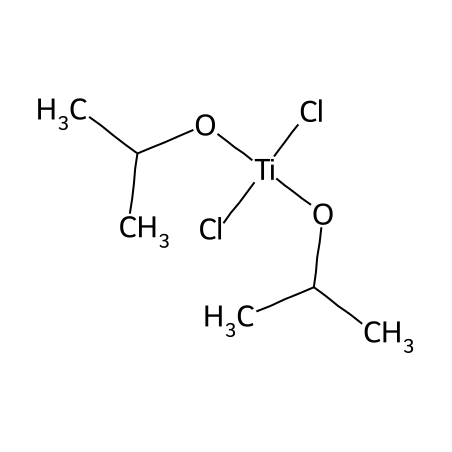 CC(C)[O][Ti]([Cl])([Cl])[O]C(C)C